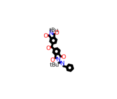 CC(C)(C)/C(=N\Cc1ccccc1)N1C(=O)c2ccc(C(=O)c3ccc4c(c3)C(=O)N(C(C)(C)C)C4=O)cc2C1=O